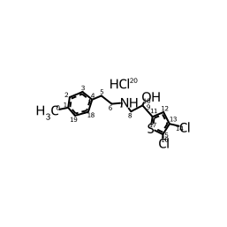 Cc1ccc(CCNCC(O)c2cc(Cl)c(Cl)s2)cc1.Cl